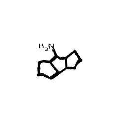 NC1C2CCCC2C2CCCC12